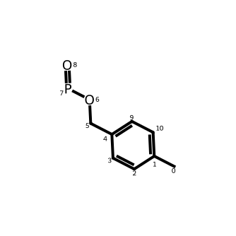 Cc1ccc(COP=O)cc1